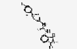 O=C(Nc1cccc2c1C(=O)NC2=O)NC1C2CN(c3ccc(F)cc3F)CC21